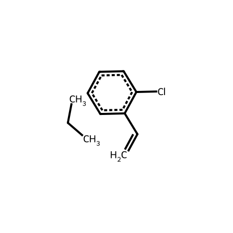 C=Cc1ccccc1Cl.CCC